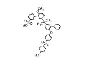 COc1ccc(C(C)(C)c2ccc(Oc3ccc(S(=O)(=O)c4ccc(C)cc4)cc3)c(-c3ccccc3)c2)cc1-c1cccc(S(=O)(=O)O)c1